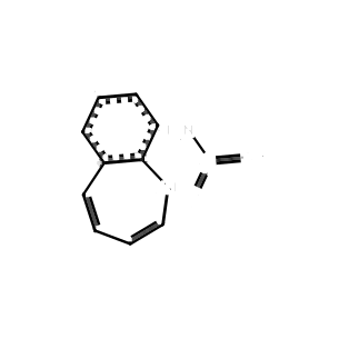 C1=CNc2ccccc2C=C1.N[SH](=O)=O